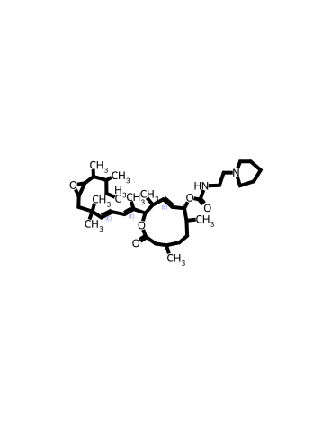 CCC(C)C(C)C1OC1CC(C)(C)/C=C/C=C(\C)C1OC(=O)CC(C)CCC(C)C(OC(=O)NCCN2CCCCC2)/C=C/C1C